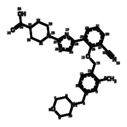 Cc1cc(CN2CCOCC2)ccc1COc1c(C#N)cccc1-c1csc(N2CCC(C(=O)O)CC2)n1